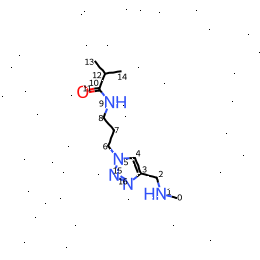 CNCc1cn(CCCNC(=O)C(C)C)nn1